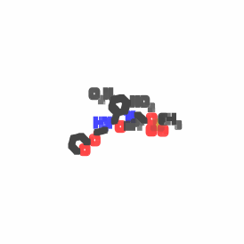 CCCN(CCOS(C)(=O)=O)c1c(C(=O)NCCOC2CCCCO2)cc([N+](=O)[O-])cc1[N+](=O)[O-]